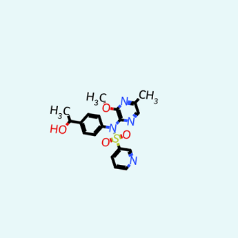 COc1nc(C)cnc1N(c1ccc(C(C)O)cc1)S(=O)(=O)c1cccnc1